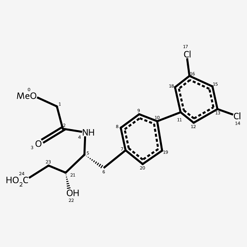 COCC(=O)N[C@H](Cc1ccc(-c2cc(Cl)cc(Cl)c2)cc1)[C@H](O)CC(=O)O